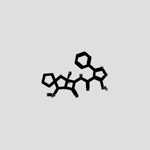 Cc1onc(-c2ccccc2)c1C(=O)NC1C(=O)N2C(C(=O)O)C3(CCCC3)S[C@@H]12